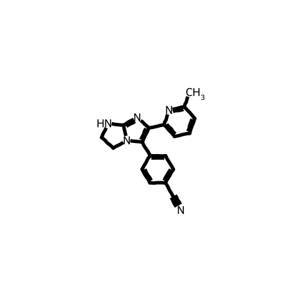 Cc1cccc(-c2nc3n(c2-c2ccc(C#N)cc2)CCN3)n1